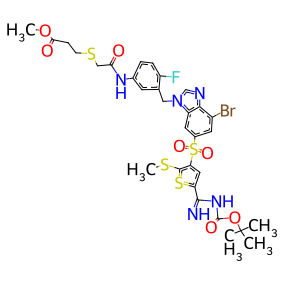 COC(=O)CCSCC(=O)Nc1ccc(F)c(Cn2cnc3c(Br)cc(S(=O)(=O)c4cc(C(=N)NC(=O)OC(C)(C)C)sc4SC)cc32)c1